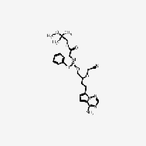 COC(C)(C)COC(=O)CNP(OCC(CCc1ccc2c(N)ncnn12)OCC#N)Oc1ccccc1